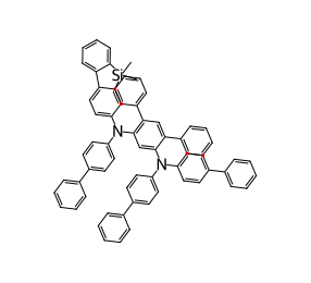 C[Si]1(C)c2ccccc2-c2ccc(N(c3ccc(-c4ccccc4)cc3)c3cc(N(c4ccc(-c5ccccc5)cc4)c4ccc(-c5ccccc5)cc4)c(-c4ccccc4)cc3-c3ccccc3)cc21